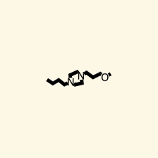 CCCCN1CCN(CCCOC)CC1